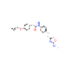 CCOc1ccc(CC(=O)Nc2ccc(CCC3COC(N)=N3)cc2)cc1